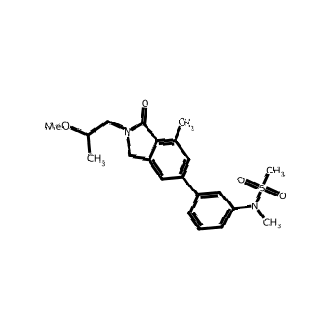 COC(C)CN1Cc2cc(-c3cccc(N(C)S(C)(=O)=O)c3)cc(C)c2C1=O